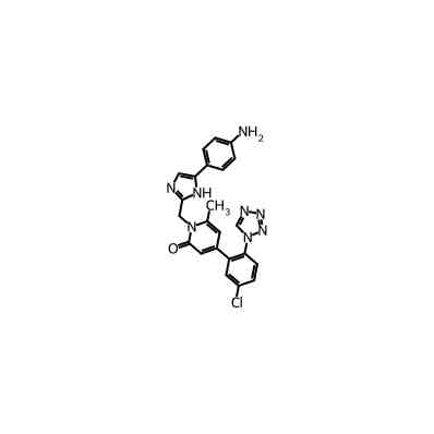 Cc1cc(-c2cc(Cl)ccc2-n2cnnn2)cc(=O)n1Cc1ncc(-c2ccc(N)cc2)[nH]1